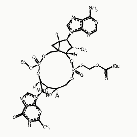 CCO[P@@]1(=O)OCC23C[C@@H]2[C@@H](n2cnc4c(N)ncnc42)[C@H](O)[C@@H]3O[P@@](=O)(SCOC(=O)C(C)(C)C)OC[C@H]2O[C@@H](n3cnc4c(=O)[nH]c(C)nc43)[C@H](O1)[C@@H]2OC